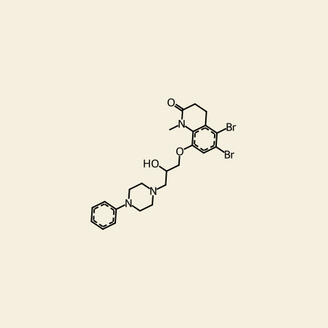 CN1C(=O)CCc2c(Br)c(Br)cc(OCC(O)CN3CCN(c4ccccc4)CC3)c21